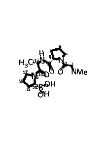 CNCC(=O)N1CCC[C@H]1C(=O)N[C@@H](C)C(=O)N1CCC[C@H]1B(O)O